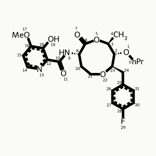 CCCO[C@H]1[C@H](C)OC(=O)[C@@H](NC(=O)c2nccc(OC)c2O)CCO[C@@H]1Cc1ccc(F)cc1